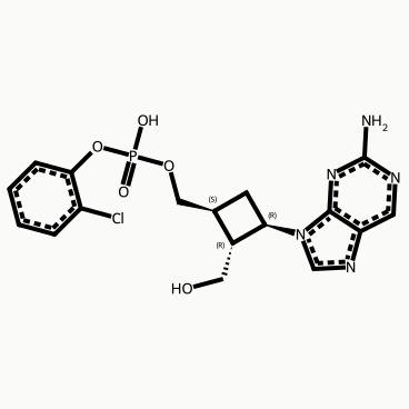 Nc1ncc2ncn([C@@H]3C[C@H](COP(=O)(O)Oc4ccccc4Cl)[C@H]3CO)c2n1